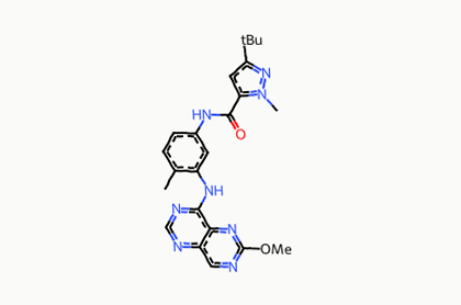 COc1ncc2ncnc(Nc3cc(NC(=O)c4cc(C(C)(C)C)nn4C)ccc3C)c2n1